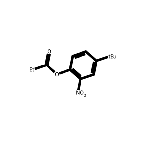 CCC(=O)Oc1ccc(C(C)(C)C)cc1[N+](=O)[O-]